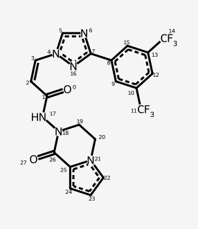 O=C(/C=C\n1cnc(-c2cc(C(F)(F)F)cc(C(F)(F)F)c2)n1)NN1CCn2cccc2C1=O